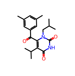 Cc1cc(C)cc(C(=O)c2c(C(C)C)c(=O)[nH]c(=O)n2CC(C)C)c1